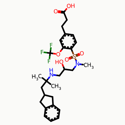 CN(CC(O)CNC(C)(C)CC1Cc2ccccc2C1)S(=O)(=O)c1ccc(CCC(=O)O)cc1OC(F)(F)F